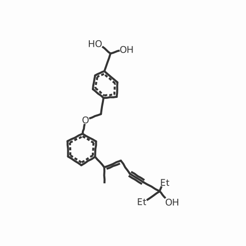 CCC(O)(C#CC=C(C)c1cccc(OCc2ccc(C(O)O)cc2)c1)CC